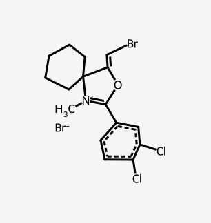 C[N+]1=C(c2ccc(Cl)c(Cl)c2)O/C(=C\Br)C12CCCCC2.[Br-]